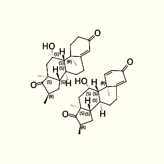 C[C@@H]1C[C@H]2[C@@H]3CCC4=CC(=O)C=C[C@]4(C)[C@H]3[C@@H](O)C[C@]2(C)C1=O.C[C@@H]1C[C@H]2[C@@H]3CCC4=CC(=O)CC[C@]4(C)[C@H]3[C@@H](O)C[C@]2(C)C1=O